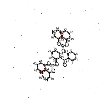 O=C(c1ccccc1OP(Oc1cccnc1)Oc1cccnc1)c1ccccc1OP(Oc1cccnc1)Oc1cccnc1